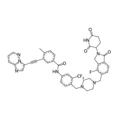 Cc1ccc(C(=O)Nc2ccc(CN3CCN(Cc4ccc5c(c4F)CN(C4CCC(=O)NC4=O)C5=O)CC3)c(C(F)(F)F)c2)cc1C#Cc1cnc2cccnn12